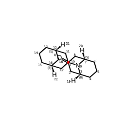 O=C1C[C@H]2CCC[C@@H](C1)N2C1C[C@H]2CCC[C@@H](C1)C2